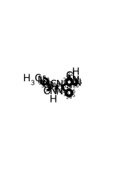 CN1CCC(OC(=O)Nc2nc(-c3ccccc3)c(-c3cc(Cl)c4[nH]ncc4c3)nc2C#N)CC1